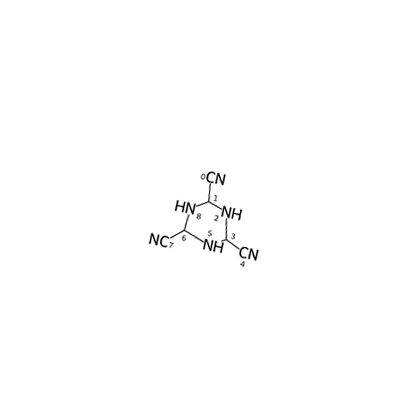 N#CC1NC(C#N)NC(C#N)N1